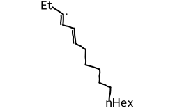 CC/[C]=C/C=CCCCCCCCCCCC